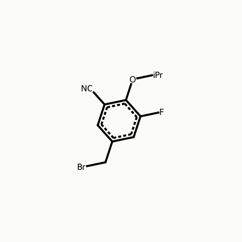 CC(C)Oc1c(F)cc(CBr)cc1C#N